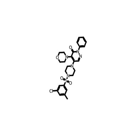 Cc1cc(Cl)cc(S(=O)(=O)N2CCN(c3cnn(-c4ccccc4)c(=O)c3N3CCOCC3)CC2)c1